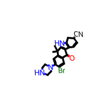 CC1(C)c2cc(N3CCNCC3)c(Br)cc2C(=O)c2c1[nH]c1c2C=CC(C#N)C1